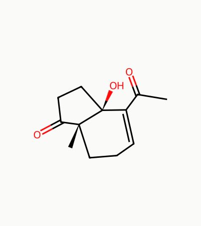 CC(=O)C1=CCC[C@]2(C)C(=O)CC[C@]12O